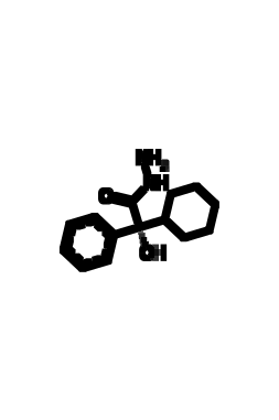 NNC(=O)[C@](O)(c1ccccc1)C1CCCCC1